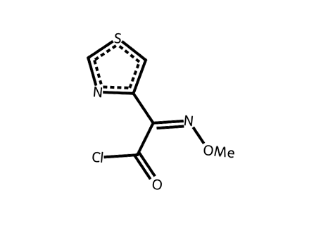 CON=C(C(=O)Cl)c1cscn1